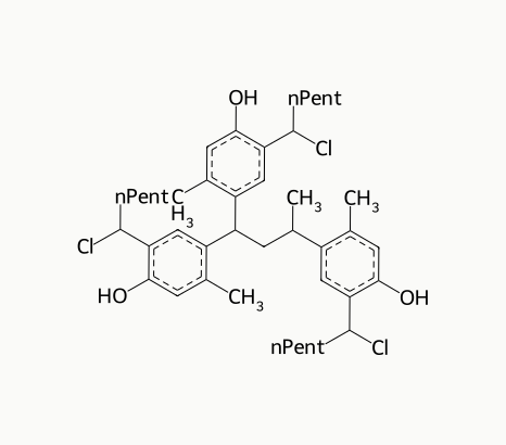 CCCCCC(Cl)c1cc(C(C)CC(c2cc(C(Cl)CCCCC)c(O)cc2C)c2cc(C(Cl)CCCCC)c(O)cc2C)c(C)cc1O